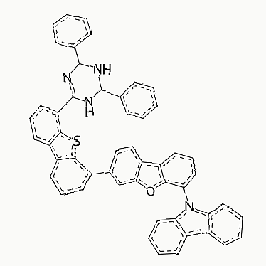 c1ccc(C2N=C(c3cccc4c3sc3c(-c5ccc6c(c5)oc5c(-n7c8ccccc8c8ccccc87)cccc56)cccc34)NC(c3ccccc3)N2)cc1